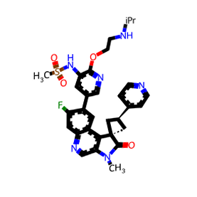 CC(C)NCCOc1ncc(-c2cc3c(cc2F)ncc2c3[C@]3(C[C@H](c4ccncc4)C3)C(=O)N2C)cc1NS(C)(=O)=O